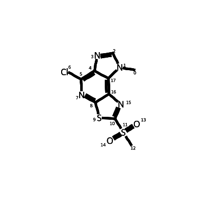 Cn1cnc2c(Cl)nc3sc(S(C)(=O)=O)nc3c21